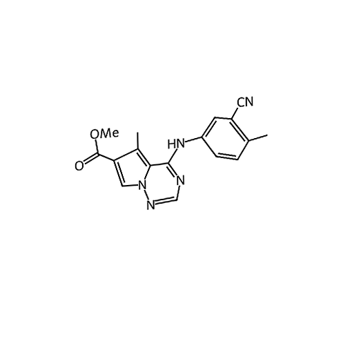 COC(=O)c1cn2ncnc(Nc3ccc(C)c(C#N)c3)c2c1C